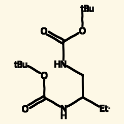 C[CH]C(CNC(=O)OC(C)(C)C)NC(=O)OC(C)(C)C